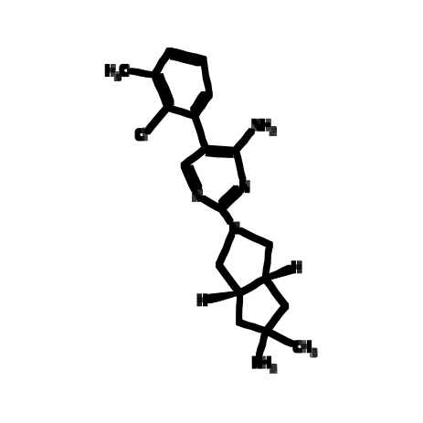 Cc1cccc(-c2cnc(N3C[C@@H]4CC(C)(N)C[C@@H]4C3)nc2N)c1Cl